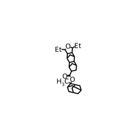 CCC1OC(CC)C2C3CC(C4C5CC(C(=O)OC6(C)C7CC8CC(C7)CC6C8)C(C5)C34)C12